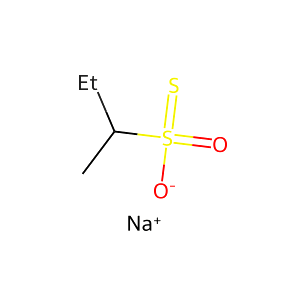 CCC(C)S(=O)([O-])=S.[Na+]